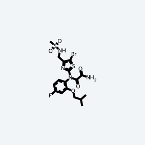 CC(C)COc1cc(F)ccc1N(C(=O)C(N)=O)c1nc(CNS(C)(=O)=O)c(Br)s1